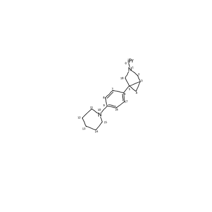 CC(C)N1CC2CC2(c2ccc(N3CCCCC3)cc2)C1